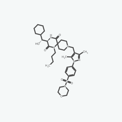 CCCCN1C(=O)[C@@H]([C@H](O)C2CCCCC2)NC(=O)C12CCN(Cc1c(C)nn(-c3ccc(S(=O)(=O)N4CCOCC4)cc3)c1C)CC2